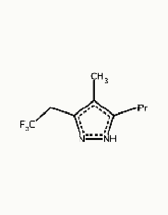 Cc1c(CC(F)(F)F)n[nH]c1C(C)C